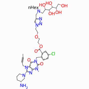 CC#CCn1c(N2CCC[C@@H](N)C2)nc2c1c(=O)n(Cc1ccc(Cl)cc1C(=O)OCCOCCn1cc(CN(CCCCCC)CC(O)C(O)C(O)C(O)CO)nn1)c(=O)n2C